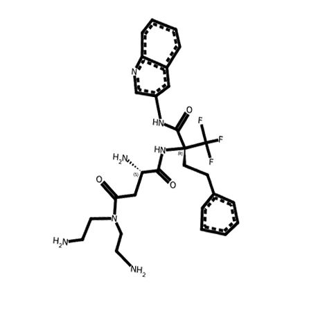 NCCN(CCN)C(=O)C[C@H](N)C(=O)N[C@](CCc1ccccc1)(C(=O)Nc1cnc2ccccc2c1)C(F)(F)F